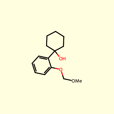 COCOc1ccccc1C1(O)CCCCC1